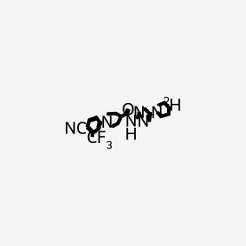 [2H]C1CCN(c2cnc(NC(=O)C3CCN(c4ccc(C#N)c(C(F)(F)F)c4)CC3)nc2)CC1